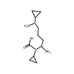 BC(CCCN(B)C1CC1)N(C(=O)S)C1CC1